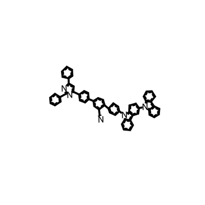 N#Cc1cc(-c2ccc(-c3cc(-c4ccccc4)nc(-c4ccccc4)n3)cc2)ccc1-c1ccc(-n2c3ccccc3c3cc(-n4c5ccccc5c5ccccc54)ccc32)cc1